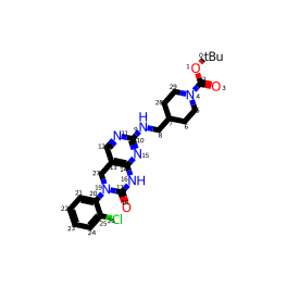 CC(C)(C)OC(=O)N1CCC(CNc2ncc3c(n2)NC(=O)N(c2ccccc2Cl)C3)CC1